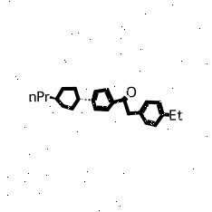 CCC[C@H]1CC[C@H](c2ccc(C(=O)Cc3ccc(CC)cc3)cc2)CC1